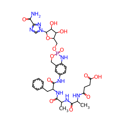 CC(NC(=O)CCC(=O)O)C(=O)NC(C)C(=O)NC(Cc1ccccc1)C(=O)Nc1ccc2c(c1)COP(=O)(OCC1OC(n3cnc(C(N)=O)n3)C(O)C1O)N2